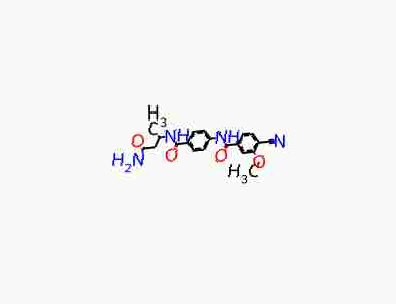 COc1cc(C(=O)Nc2ccc(C(=O)NC(C)CC(N)=O)cc2)ccc1C#N